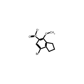 COc1c([N+](=O)[O-])cc(Br)c2c1CCC2